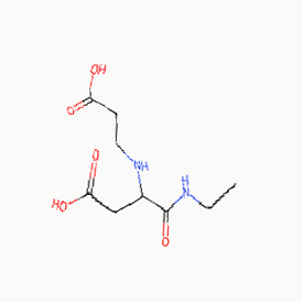 CCNC(=O)C(CC(=O)O)NCCC(=O)O